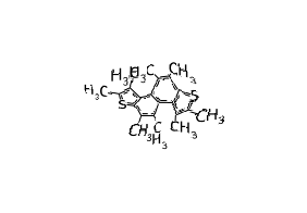 Cc1sc2c(C)c(C)c3c4c(C)c(C)sc4c(C)c(C)c3c2c1C